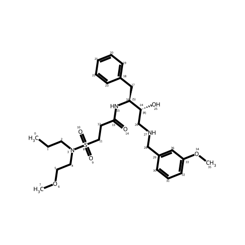 CCCN(CCOC)S(=O)(=O)CCC(=O)N[C@@H](Cc1ccccc1)[C@H](O)CNCc1cccc(OC)c1